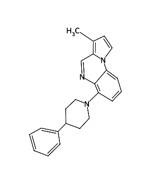 Cc1ccn2c1cnc1c(N3CCC(c4ccccc4)CC3)cccc12